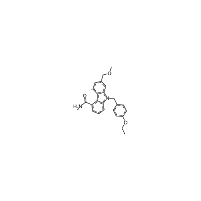 CCOc1ccc(Cn2c3cc(COC)c[c]c3c3c(C(N)=O)cccc32)cc1